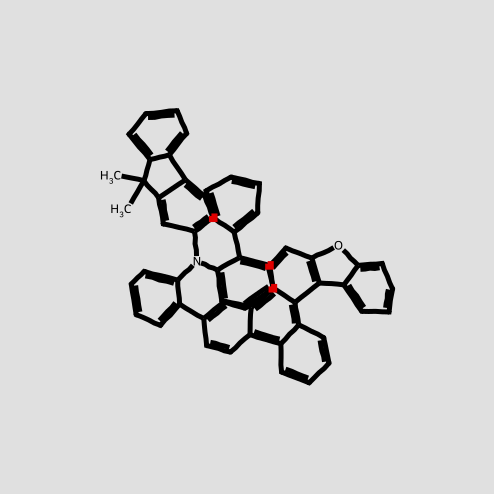 CC1(C)c2ccccc2-c2ccc(N(c3ccccc3-c3ccccc3)c3ccccc3-c3ccc4c5ccccc5c5c(ccc6oc7ccccc7c65)c4c3)cc21